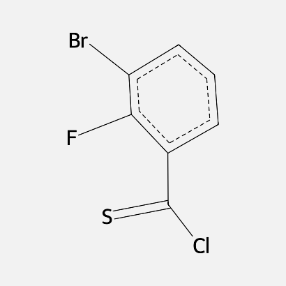 Fc1c(Br)cccc1C(=S)Cl